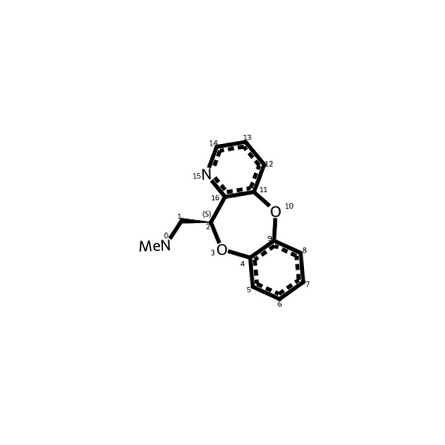 CNC[C@@H]1Oc2ccccc2Oc2cccnc21